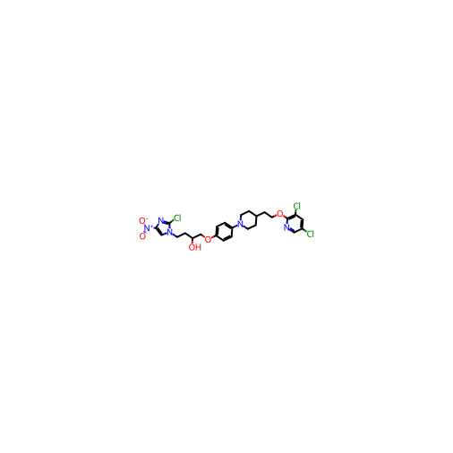 O=[N+]([O-])c1cn(CCC(O)COc2ccc(N3CCC(CCOc4ncc(Cl)cc4Cl)CC3)cc2)c(Cl)n1